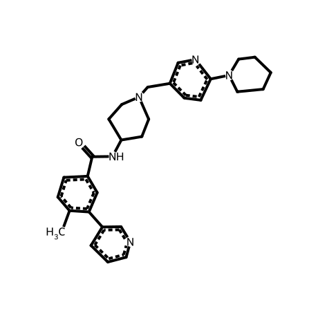 Cc1ccc(C(=O)NC2CCN(Cc3ccc(N4CCCCC4)nc3)CC2)cc1-c1cccnc1